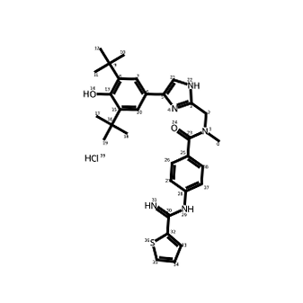 CN(Cc1nc(-c2cc(C(C)(C)C)c(O)c(C(C)(C)C)c2)c[nH]1)C(=O)c1ccc(NC(=N)c2cccs2)cc1.Cl